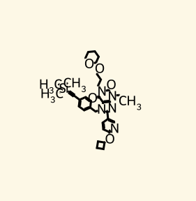 CCn1c(=O)n(CCCOC2CCCCO2)c(=O)c2c1nc(-c1ccc(OC3CCC3)nc1)n2Cc1ccc(C#C[Si](C)(C)C)cc1